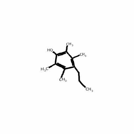 CCCc1c(C)c(C)c(O)c(C)c1C